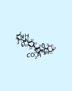 Cc1cccnc1C(=O)Nc1ccc(-c2cc(N(C(=O)C3CCC(C)CC3)C(C)C)c(C(=O)O)s2)cc1